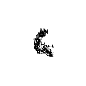 Cc1c(Oc2ccn3ncnc3c2)ccc(Nc2ncnc3cc(Br)c(N4CCN(C(=O)OC(C)(C)C)[C@H](CO)C4)nc23)c1F